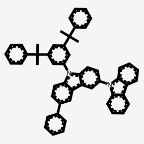 CC(C)(c1ccccc1)c1cc(-n2c3ccc(-c4ccccc4)cc3c3cc(-n4c5ccccc5c5ccccc54)ccc32)cc(C(C)(C)c2ccccc2)c1